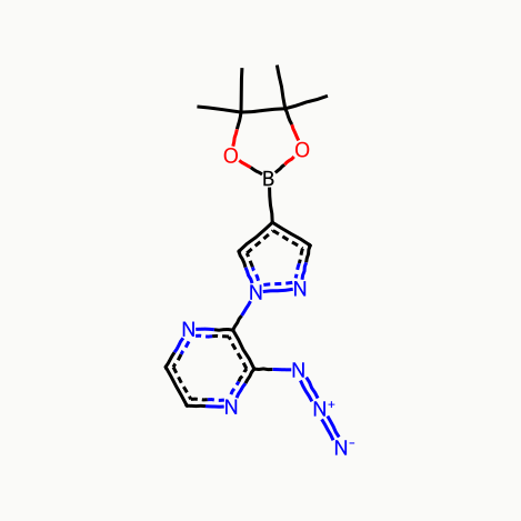 CC1(C)OB(c2cnn(-c3nccnc3N=[N+]=[N-])c2)OC1(C)C